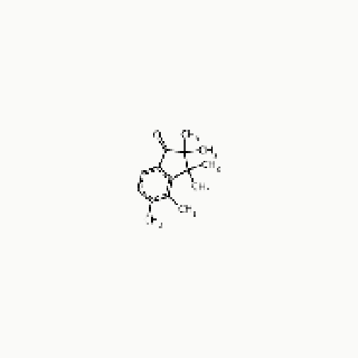 Cc1ccc2c(c1C)C(C)(C)C(C)(C)C2=O